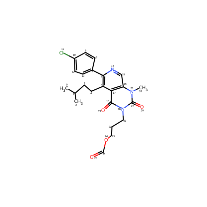 CC(C)CCc1c(-c2ccc(Cl)cc2)ncc2c1c(=O)n(CCCOC=O)c(=O)n2C